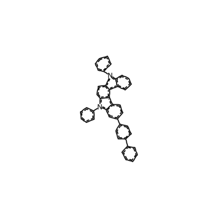 c1ccc(-c2ccc(-c3ccc4c5c6c7ccccc7n(-c7ccccc7)c6ccc5n(-c5ccccc5)c4c3)cc2)cc1